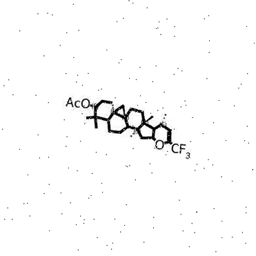 CC(=O)O[C@H]1CC[C@]23C[C@]24CC[C@]2(C)C5C(C[C@@]2(C)C4CCC3C1(C)C)OC(C(F)(F)F)=C[C@H]5C